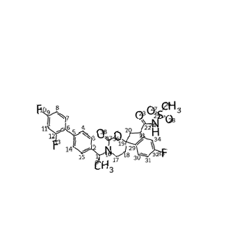 C[C@@H](c1ccc(-c2ccc(F)cc2F)cc1)N1CCC(CCC(=O)NS(C)(=O)=O)(c2ccc(F)cc2)OC1=O